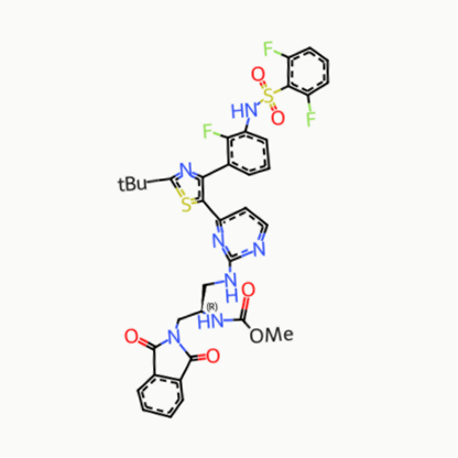 COC(=O)N[C@H](CNc1nccc(-c2sc(C(C)(C)C)nc2-c2cccc(NS(=O)(=O)c3c(F)cccc3F)c2F)n1)CN1C(=O)c2ccccc2C1=O